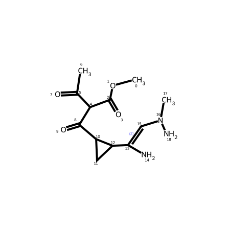 COC(=O)C(C(C)=O)C(=O)C1CC1/C(N)=C/N(C)N